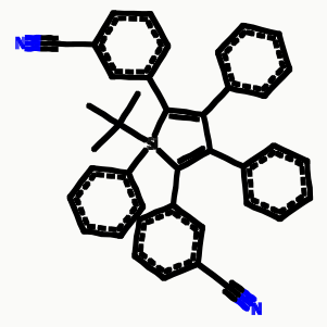 CC(C)(C)[Si]1(c2ccccc2)C(c2cccc(C#N)c2)=C(c2ccccc2)C(c2ccccc2)=C1c1cccc(C#N)c1